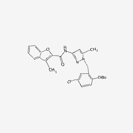 Cc1c(C(=O)Nc2cc(C)n(Cc3cc(Cl)ccc3OCC(C)C)n2)oc2ccccc12